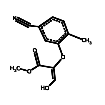 COC(=O)C(=CO)Oc1cc(C#N)ccc1C